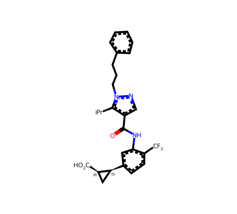 CC(C)c1c(C(=O)Nc2cc([C@H]3C[C@H]3C(=O)O)ccc2C(F)(F)F)cnn1CCCc1ccccc1